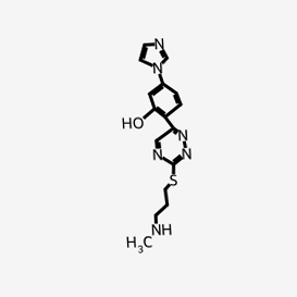 CNCCCSc1ncc(-c2ccc(-n3ccnc3)cc2O)nn1